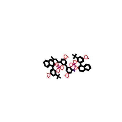 CCCCc1cc(OC)cc(-c2cc(OC)cc(I)c2Op2oc3ccc4ccccc4c3c3cc(OC)cc(C(C)(C)C)c3o2)c1Op1oc2ccc3ccccc3c2c2cc(OC)cc(C(C)(C)C)c2o1